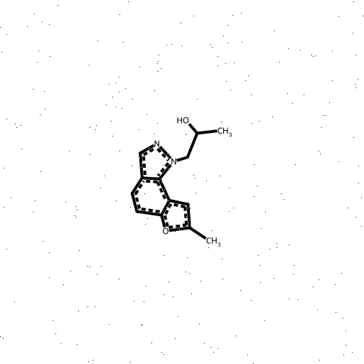 Cc1cc2c(ccc3cnn(CC(C)O)c32)o1